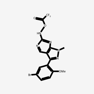 COc1ccc(Br)cc1-c1nn(C)c2nc(NOC(=O)C(F)(F)F)ncc12